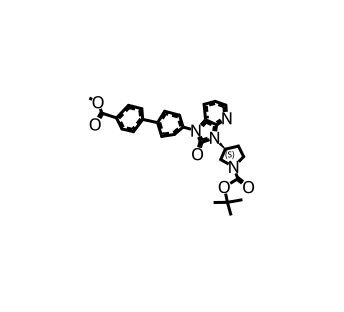 COC(=O)c1ccc(-c2ccc(-n3c(=O)n([C@H]4CCN(C(=O)OC(C)(C)C)C4)c4ncccc43)cc2)cc1